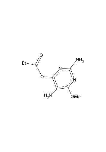 CCC(=O)Oc1nc(N)nc(OC)c1N